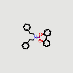 c1ccc(CCN(CCc2ccccc2)p2oc3ccccc3c3ccccc3o2)cc1